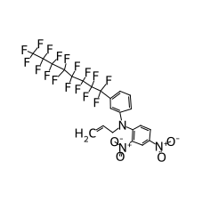 C=CCN(c1cccc(C(F)(F)C(F)(F)C(F)(F)C(F)(F)C(F)(F)C(F)(F)C(F)(F)C(F)(F)F)c1)c1ccc([N+](=O)[O-])cc1[N+](=O)[O-]